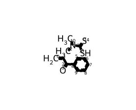 C=CC(=O)c1ccccc1.CN(C)C(=S)S